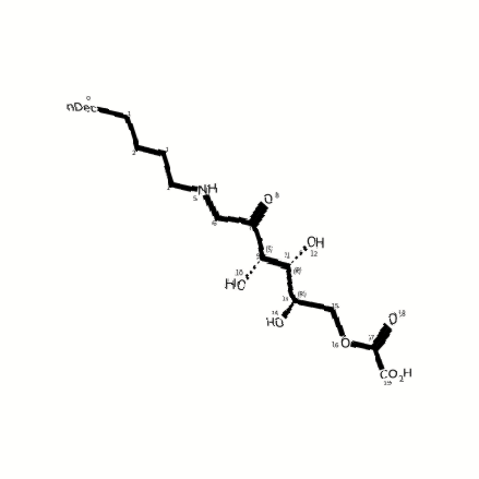 CCCCCCCCCCCCCCNCC(=O)[C@@H](O)[C@H](O)[C@H](O)COC(=O)C(=O)O